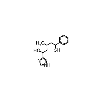 CC(CC(O)c1c[nH]cn1)CC(S)c1ccccc1